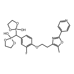 Cc1oc(-c2ccncc2)nc1CCOc1ccc(C([P]2(O)OCCO2)[P]2(O)OCCO2)cc1F